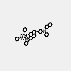 c1ccc(-c2nc(-c3ccccc3)nc(-n3c4ccccc4c4cc5ccc6c(-c7ccc(N(c8ccccc8)c8ccc9ccccc9c8)cc7)ccc7ccc(c5c76)c43)n2)cc1